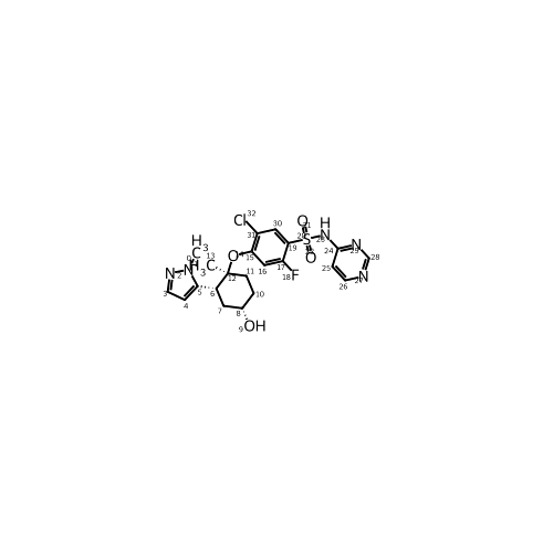 Cn1nccc1[C@H]1C[C@@H](O)CC[C@]1(C)Oc1cc(F)c(S(=O)(=O)Nc2ccncn2)cc1Cl